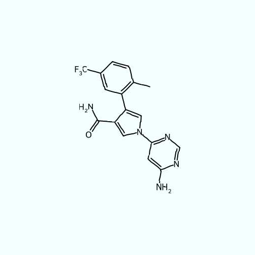 Cc1ccc(C(F)(F)F)cc1-c1cn(-c2cc(N)ncn2)cc1C(N)=O